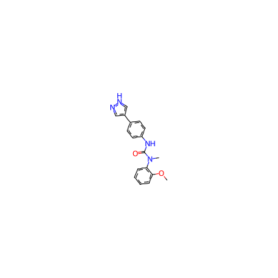 COc1ccccc1N(C)C(=O)Nc1ccc(-c2cn[nH]c2)cc1